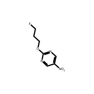 O=[N+]([O-])c1cnc(OCCCF)nc1